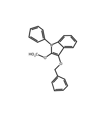 O=C(O)Oc1c(OCc2ccccc2)c2ccccc2n1-c1ccccc1